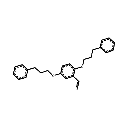 O=Cc1cc(OCCCc2ccccc2)ccc1OCCCc1ccccc1